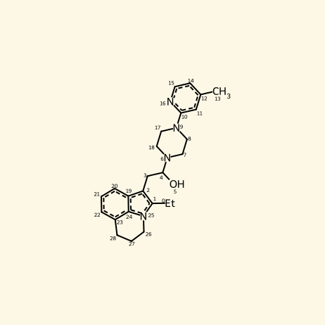 CCc1c(CC(O)N2CCN(c3cc(C)ccn3)CC2)c2cccc3c2n1CCC3